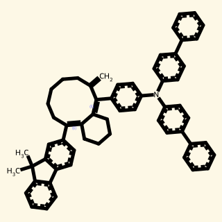 C=C1CCCCC/C(c2ccc3c(c2)C(C)(C)c2ccccc2-3)=C2/CCCC/C2=C/1c1ccc(N(c2ccc(-c3ccccc3)cc2)c2ccc(-c3ccccc3)cc2)cc1